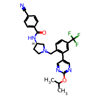 CC(C)Oc1ncc(-c2cc(C(F)(F)F)ccc2CN2CC[C@@H](NC(=O)c3ccc(C#N)cc3)C2)cn1